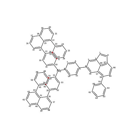 C1=Cc2cc(-c3ccc(N(c4ccc(-c5cccc6cccc(-c7ccccc7)c56)cc4)c4ccc(-c5cccc6cccc(-c7ccccc7)c56)cc4)cc3)cc3c(-c4ccccc4)ccc1c23